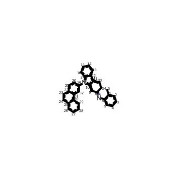 Cc1ccccc1/N=C1/C=c2c(c3ccccc3n2-c2ccc3ccc4ccccc4c3c2)=CC1